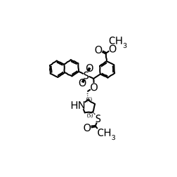 COC(=O)c1cccc(C(OC[C@@H]2C[C@H](SC(C)=O)CN2)S(=O)(=O)c2ccc3ccccc3c2)c1